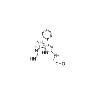 N=C/N=C(/N)c1[nH]c(PCC=O)cc1-c1ccccc1